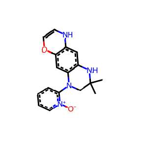 CC1(C)CN(c2cccc[n+]2[O-])c2cc3c(cc2N1)NC=CO3